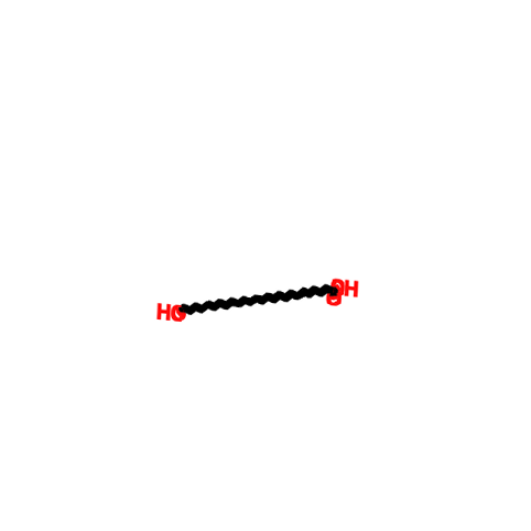 O=C(O)CCCCCCCCCCCCCCC=CCCCCCCCCCO